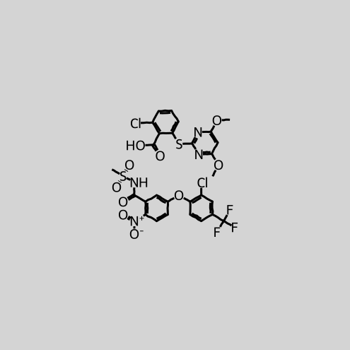 COc1cc(OC)nc(Sc2cccc(Cl)c2C(=O)O)n1.CS(=O)(=O)NC(=O)c1cc(Oc2ccc(C(F)(F)F)cc2Cl)ccc1[N+](=O)[O-]